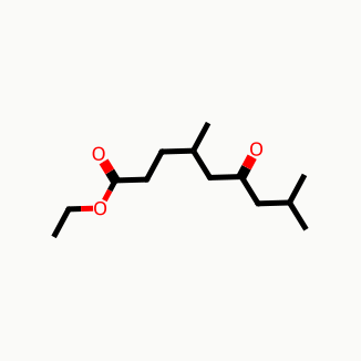 CCOC(=O)CCC(C)CC(=O)CC(C)C